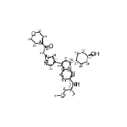 COC[C@H](C)Nc1ncc2c(-c3cnn(CC(=O)N4CCOCC4)c3)cc([C@H]3CC[C@H](O)CC3)n2n1